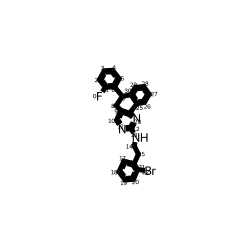 Fc1ccccc1C1Cc2cnc(NCCc3ccccc3Br)nc2-c2ccccc21